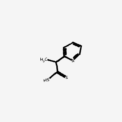 CC(C(=S)S)c1ccccn1